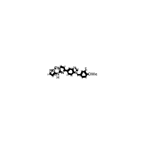 COc1ccc(Cn2nnc3cc(-c4ccnc(Nc5ccnn5C)n4)ccc32)cc1F